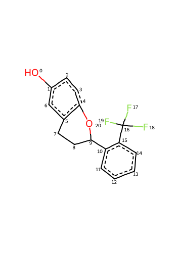 Oc1ccc2c(c1)CCC(c1ccccc1C(F)(F)F)O2